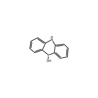 OP1c2ccccc2Nc2ccccc21